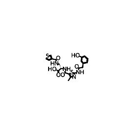 Cc1nc(NC(=O)Cc2cccc(O)c2)sc1C(=O)N[C@@H](CNC(=O)c1ccsc1)C(=O)O